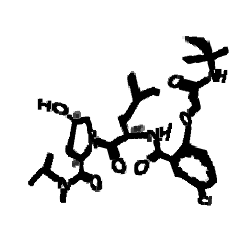 CC(C)C[C@@H](NC(=O)c1cc(Cl)ccc1OCC(=O)NC(C)(C)C)C(=O)N1C[C@@H](O)C[C@@H]1C(=O)N(C)C(C)C